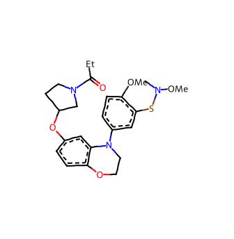 CCC(=O)N1CCC(Oc2ccc3c(c2)N(c2ccc(OC)c(SN(C)OC)c2)CCO3)C1